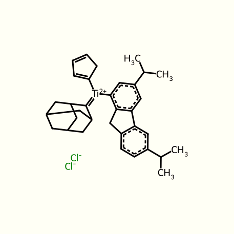 CC(C)c1ccc2c(c1)-c1cc(C(C)C)c[c]([Ti+2]([C]3=CC=CC3)=[C]3C4CC5CC(C4)CC3C5)c1C2.[Cl-].[Cl-]